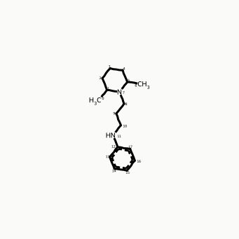 CC1CCCC(C)N1CCCNc1ccccc1